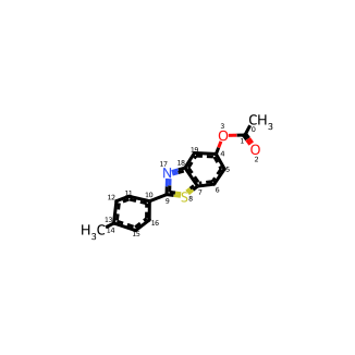 CC(=O)Oc1ccc2sc(-c3ccc(C)cc3)nc2c1